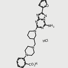 Cl.Nc1nc(N2CCCC(CN3CCN(c4ccccc4C(=O)O)CC3)C2)nc2nc(-c3ccco3)nn12